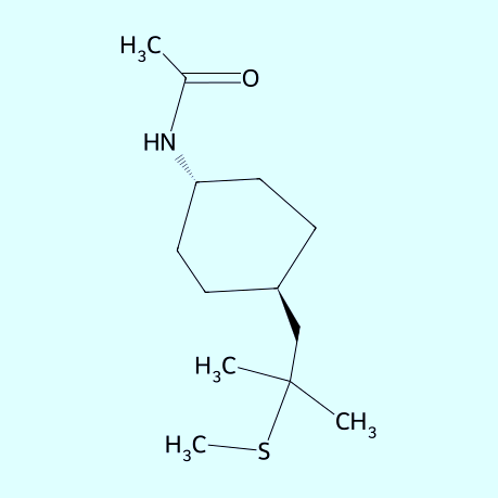 CSC(C)(C)C[C@H]1CC[C@H](NC(C)=O)CC1